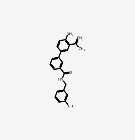 C=C(C)c1cc(-c2cccc(C(=O)NCc3cccc(O)c3)c2)ccc1N